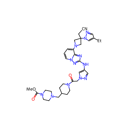 CCc1cnn(C2(CC#N)CN(c3cccn4nc(Nc5cnn(CC(=O)N6CCC(CN7CCN(C(=O)OC)CC7)CC6)c5)nc34)C2)c1